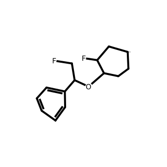 FCC(OC1CC[CH]CC1F)c1ccccc1